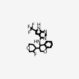 FC1COCCC1C1COc2ccccc2C1Nc1ncnc2[nH]c(C(F)(F)F)cc12